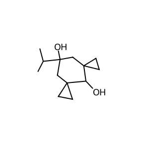 CC(C)C1(O)CC2(CC2)C(O)C2(CC2)C1